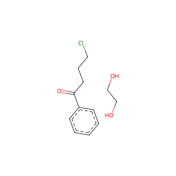 O=C(CCCCl)c1ccccc1.OCCO